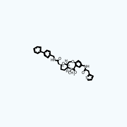 CN1C(=O)c2cc(NC(=O)Cc3cccs3)ccc2OC[C@@H]2O[C@H](CC(=O)NCc3ccc(-c4ccccc4)cc3)CC[C@@H]21